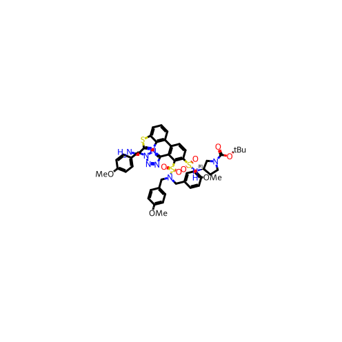 COc1ccc(CN(Cc2ccc(OC)cc2)S(=O)(=O)c2c(S(=O)(=O)N[C@@H]3CCN(C(=O)OC(C)(C)C)C3)ccc(-c3cccc4sc(CN)nc34)c2-c2nnn(Cc3ccc(OC)cc3)n2)cc1